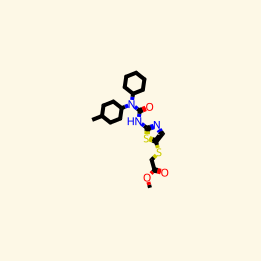 COC(=O)CSc1cnc(NC(=O)N(C2CCCCC2)C2CCC(C)CC2)s1